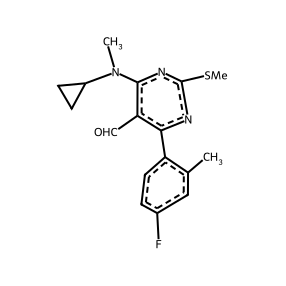 CSc1nc(-c2ccc(F)cc2C)c(C=O)c(N(C)C2CC2)n1